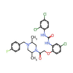 CC1CN(C(=O)COc2ccc(Cl)cc2NC(=O)Nc2ccc(Cl)cc2Cl)C(C)CN1Cc1ccc(F)cc1